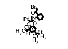 CCC(C)(C)c1ccc(OC(C(=O)Nc2ccccc2C(=O)CBr)C(C)C)c(C(C)(C)CC)c1